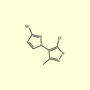 CCC1=C(n2ccc(C#N)n2)C(C)=N[N]1